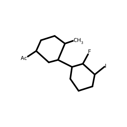 CC(=O)C1CCC(C)C(C2CCCC(I)C2F)C1